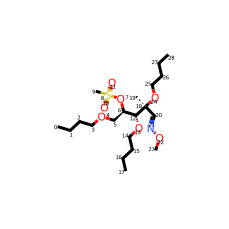 CCCCOC[C@@H](OS(C)(=O)=O)[C@@H](OCCCC)[C@](C)(/C=N/OC)OCCCC